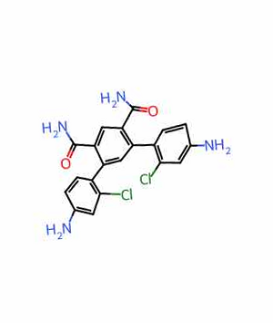 NC(=O)c1cc(C(N)=O)c(-c2ccc(N)cc2Cl)cc1-c1ccc(N)cc1Cl